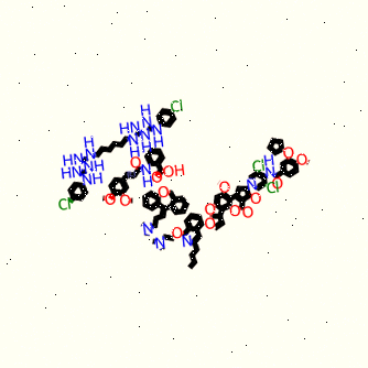 CCCCc1cc2ccccc2c(OCCN(C)C)n1.CN(C)CCC=C1c2ccccc2COc2ccccc21.COc1cc2c(c3oc(=O)c4c(c13)CCC4=O)C1C=COC1O2.COc1ccc(/C=C/C(=O)Nc2ccccc2C(=O)O)cc1OC.COc1ccc(C(=O)Nc2c(Cl)cncc2Cl)cc1OC1CCCC1.N=C(NCCCCCCNC(=N)NC(=N)Nc1ccc(Cl)cc1)NC(=N)Nc1ccc(Cl)cc1